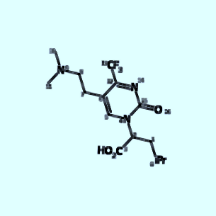 CC(C)CC(C(=O)O)n1cc(CCN(C)C)c(C(F)(F)F)nc1=O